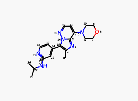 Cc1nc2c(N3CCOCC3)ccnn2c1-c1ccnc(NC(C)C)c1